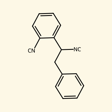 [C-]#[N+]c1ccccc1C(Cc1ccccc1)[N+]#[C-]